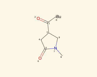 CCC(C)C(=O)C1CC(=O)N(C)C1